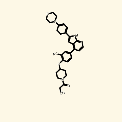 N#Cc1cc(-c2ccnc3[nH]c(C4=CC=C(N5CCOCC5)CC4)cc23)ccc1OC1CCN(C(=O)CO)CC1